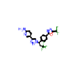 Nc1ccc(-c2cn(C(CC(F)(F)F)c3ccc(-c4nnc(C(F)F)o4)cc3)nn2)cn1